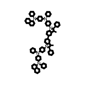 Cc1c(-c2ccccc2)n(-c2ccc(N(c3ccccc3)c3ccc(N(c4ccccc4)c4cccc5ccccc45)cc3)cc2)c2ccc(-c3ccc4c(c3)c(C)c(-c3ccccc3)n4-c3ccc(N(c4ccccc4)c4ccc(N(c5ccccc5)c5cccc6ccccc56)cc4)cc3)cc12